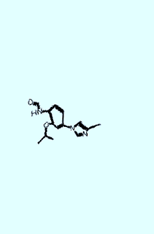 Cc1cn(-c2ccc(NC=O)c(OC(C)C)c2)cn1